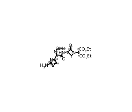 CCOC(=O)C(C(=O)OCC)N1CC(NC(=O)C(=NOC)c2csc(N)n2)C1=O